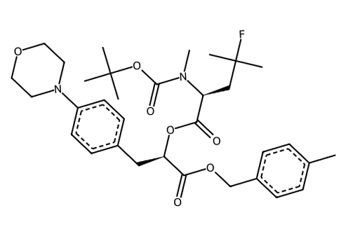 Cc1ccc(COC(=O)[C@@H](Cc2ccc(N3CCOCC3)cc2)OC(=O)[C@H](CC(C)(C)F)N(C)C(=O)OC(C)(C)C)cc1